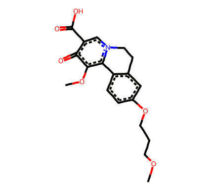 COCCCOc1ccc2c(c1)CCn1cc(C(=O)O)c(=O)c(OC)c1-2